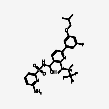 CC(C)COc1cc(F)cc(-c2ccc(C(O)NS(=O)(=O)c3cccc(N)n3)c(N(C)[C@@H](C)C(F)(F)F)n2)c1